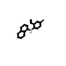 C=Cc1cc(C)ccc1Nc1cccc2ccccc12